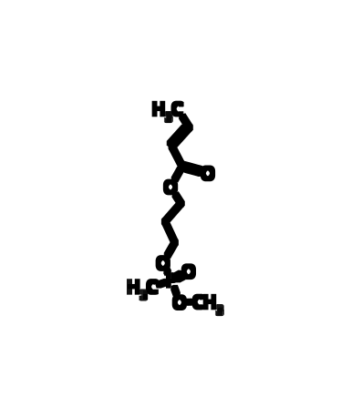 CC=CC(=O)OCCCOP(C)(=O)OC